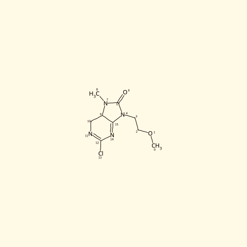 COCCN1C(=O)N(C)C2CN=C(Cl)N=C21